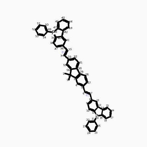 CC1(C)c2cc(/C=C/c3ccc4c(c3)c3ccccc3p4-c3ccccc3)ccc2-c2ccc(/C=C/c3ccc4c(c3)c3ccccc3p4-c3ccccc3)cc21